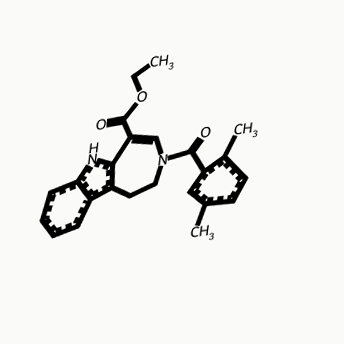 CCOC(=O)C1=CN(C(=O)c2cc(C)ccc2C)CCc2c1[nH]c1ccccc21